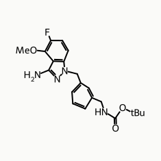 COc1c(F)ccc2c1c(N)nn2Cc1cccc(CNC(=O)OC(C)(C)C)c1